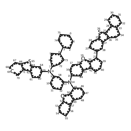 c1ccc(-c2ccc(N(c3cccc(N(c4ccc5oc6c(-c7ccc8sc9c%10ccccc%10ccc9c8c7)cccc6c5c4)c4cccc5c4oc4ccccc45)c3)c3ccc4c(c3)sc3ccccc34)cc2)cc1